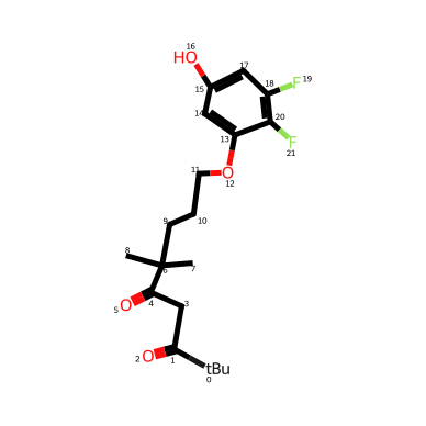 CC(C)(C)C(=O)CC(=O)C(C)(C)CCCOc1cc(O)cc(F)c1F